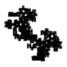 COc1ccccc1[C@H](Cn1c(=O)n(C2(C(=O)NS(=O)(=O)C3(C)CC3c3cnc(-c4sc5c(c4C)c(=O)n(C4(C(=O)NS(=O)(=O)C(C)(C)C)CC4)c(=O)n5C[C@H](O[C@@H]4C[C@H]5CC[C@@H](C4)O5)c4ccccc4OC(F)F)o3)CC2)c(=O)c2c(C)c(-c3ncco3)sc21)O[C@@H]1C[C@H]2CC[C@@H](C1)O2